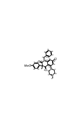 COc1ccc(C2(C)C(=O)c3c(N4CCN(C)CC4)cc(Cl)cc3N(Cc3ccccc3)C2=O)cc1